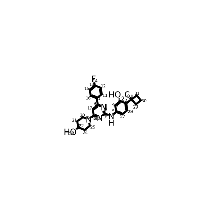 O=C(O)C1(c2ccc(Nc3nc(-c4ccc(F)cc4)cc(N4CCC(O)CC4)n3)cc2)CCC1